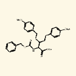 COC(=O)C(NC(=O)OCc1ccccc1)C(CCc1ccc(OC)cc1)SCc1ccc(OC)cc1